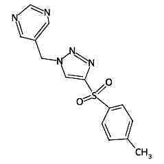 Cc1ccc(S(=O)(=O)c2cn(Cc3cncnc3)nn2)cc1